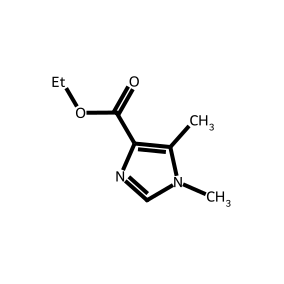 CCOC(=O)c1ncn(C)c1C